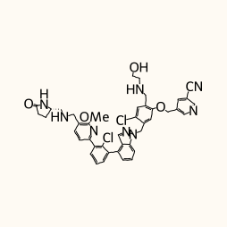 COc1nc(-c2cccc(-c3cccc4c3cnn4Cc3cc(OCc4cncc(C#N)c4)c(CNCCO)cc3Cl)c2Cl)ccc1CNC[C@@H]1CCC(=O)N1